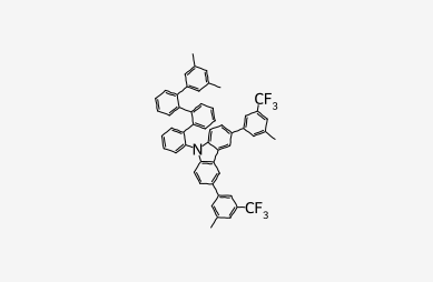 Cc1cc(C)cc(-c2ccccc2-c2ccccc2-c2ccccc2-n2c3ccc(-c4cc(C)cc(C(F)(F)F)c4)cc3c3cc(-c4cc(C)cc(C(F)(F)F)c4)ccc32)c1